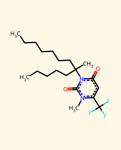 CCCCCCCC(C)(CCCCC)n1c(=O)cc(C(F)(F)F)n(C)c1=O